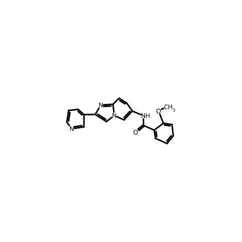 COc1ccccc1C(=O)Nc1ccc2nc(-c3cccnc3)cn2c1